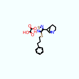 O=C(O)C(=O)O.c1ccc(CCCSc2nsnc2C2CN3CCCC2C3)cc1